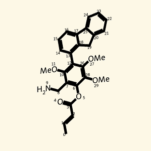 CC=CC(=O)Oc1c(CN)c(OC)c(-c2cccc3c2Cc2ccccc2-3)c(OC)c1OC